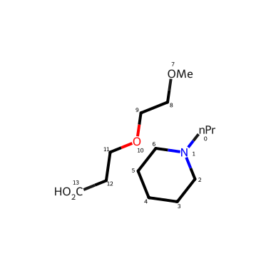 CCCN1CCCCC1.COCCOCCC(=O)O